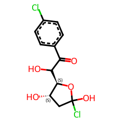 O=C(c1ccc(Cl)cc1)C(O)[C@H]1OC(O)(Cl)C[C@@H]1O